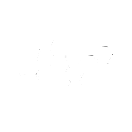 COC(=O)C1C=CC(C)=C(Nc2nc(=O)c(OC)cn2Cc2ccccc2)C1